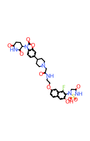 O=C(CN1CCC(c2ccc3c(c2)oc(=O)n3C2CCC(=O)NC2=O)CC1)NCCOc1ccc2cc(O)c(N3CC(=O)NS3(=O)=O)c(F)c2c1